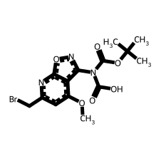 COc1cc(CBr)nc2onc(N(C(=O)O)C(=O)OC(C)(C)C)c12